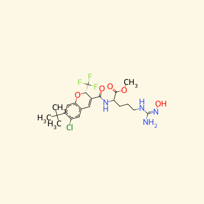 COC(=O)C(CCCN/C(N)=N\O)NC(=O)C1=Cc2cc(Cl)c(C(C)(C)C)cc2O[C@@H]1C(F)(F)F